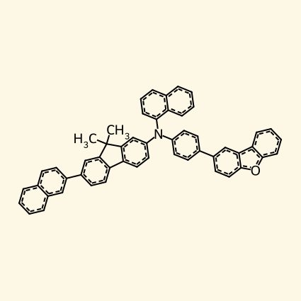 CC1(C)c2cc(-c3ccc4ccccc4c3)ccc2-c2ccc(N(c3ccc(-c4ccc5oc6ccccc6c5c4)cc3)c3cccc4ccccc34)cc21